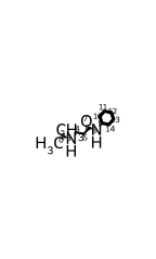 CC(C)NCCC(=O)Nc1ccccc1